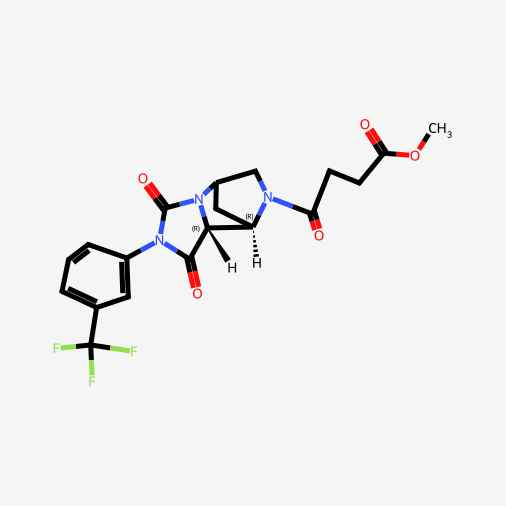 COC(=O)CCC(=O)N1CC2C[C@@H]1[C@@H]1C(=O)N(c3cccc(C(F)(F)F)c3)C(=O)N21